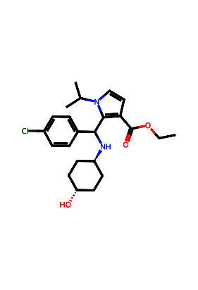 CCOC(=O)c1ccn(C(C)C)c1C(N[C@H]1CC[C@H](O)CC1)c1ccc(Cl)cc1